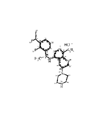 Cc1nnc(N[C@H](C)c2cccc(C(F)F)c2F)c2cc(N3CCNCC3)cnc12.Cl